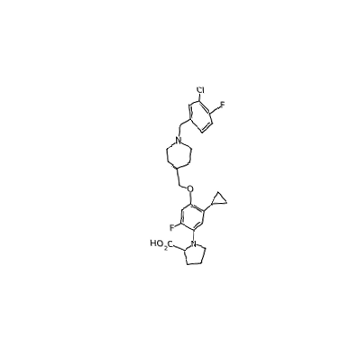 O=C(O)C1CCCN1c1cc(C2CC2)c(OCC2CCN(Cc3ccc(F)c(Cl)c3)CC2)cc1F